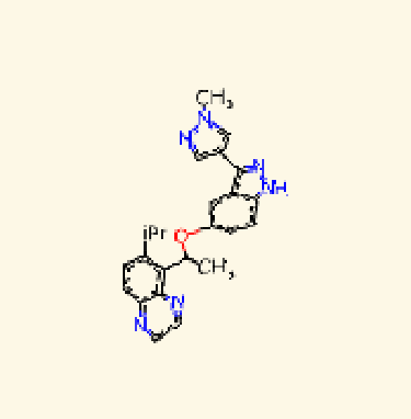 CC(C)c1ccc2nccnc2c1C(C)Oc1ccc2[nH]nc(-c3cnn(C)c3)c2c1